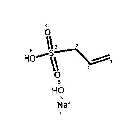 C=CCS(=O)(=O)O.[Na+].[OH-]